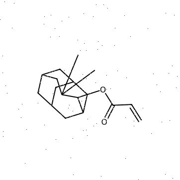 C=CC(=O)OC1C2CC3CC(CC(C3)CC1(C)C)C2